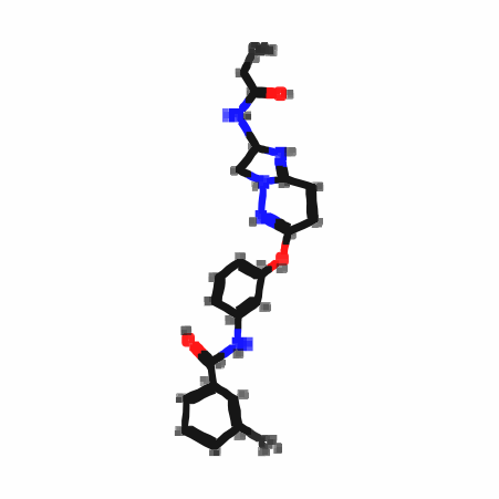 CC(=O)OCC(=O)NC1CN2N=C(Oc3cccc(NC(=O)c4cccc(C(F)(F)F)c4)c3)C=CC2=N1